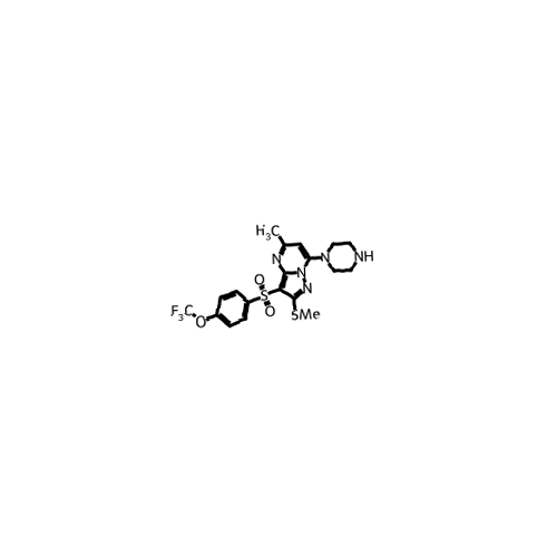 CSc1nn2c(N3CCNCC3)cc(C)nc2c1S(=O)(=O)c1ccc(OC(F)(F)F)cc1